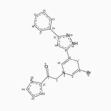 O=C(CN1C=C(Br)CC(c2cc(-c3ccccc3)n[nH]2)=C1)c1cccs1